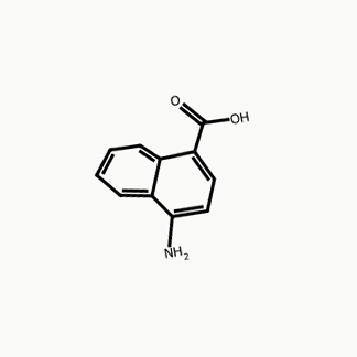 Nc1ccc(C(=O)O)c2ccccc12